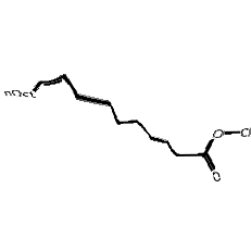 CCCCCCCC/C=C\CCCCCCCC(=O)OCl